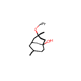 CC1CCC2(O)CC(C1)CC(C)(OC(C)C)C2